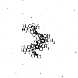 CC(C)N(C(=O)SC/C(Cl)=C/Cl)C(C)C.CC(C)N(C(=O)SC/C(Cl)=C/Cl)C(C)C.COc1c(Cl)ccc(Cl)c1C(=O)O.COc1c(Cl)ccc(Cl)c1C(=O)O